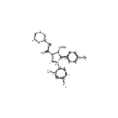 O=CC1C(C(=O)NN2CCCCC2)=NN(c2ccc(Cl)cc2Cl)C1c1ccc(Br)cc1